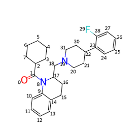 O=C(C1CCCCC1)N1c2ccccc2CCC1CN1CCC(c2ccccc2F)CC1